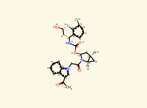 CC(=O)c1cn(CC(=O)N2[C@@H](OC(=O)N[C@H](CCO)c3cccc(Cl)c3F)C[C@H]3C[C@H]32)c2ccccc12